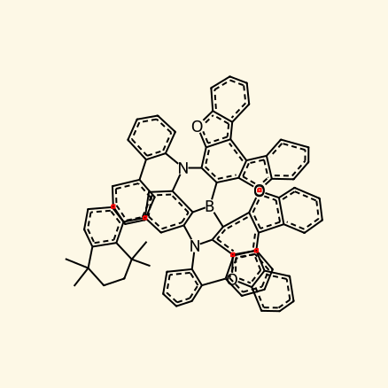 CC1(C)CCC(C)(C)c2c(-c3cc4c5c(c3)N(c3ccccc3-c3ccccc3)c3c(c6oc7ccccc7c6c6c3oc3ccccc36)B5c3c(c5oc6ccccc6c5c5c3oc3ccccc35)N4c3ccccc3-c3ccccc3)cccc21